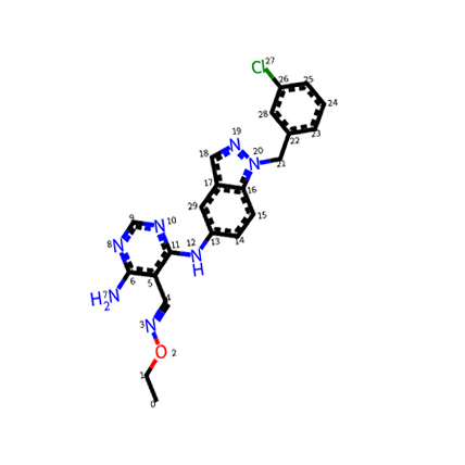 CCO/N=C/c1c(N)ncnc1Nc1ccc2c(cnn2Cc2cccc(Cl)c2)c1